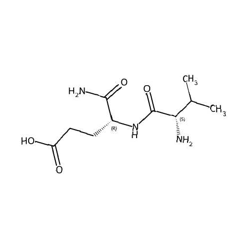 CC(C)[C@H](N)C(=O)N[C@H](CCC(=O)O)C(N)=O